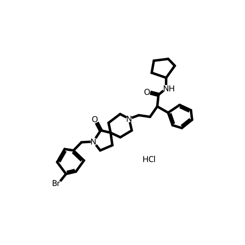 Cl.O=C(NC1CCCC1)C(CCN1CCC2(CC1)CCN(Cc1ccc(Br)cc1)C2=O)c1ccccc1